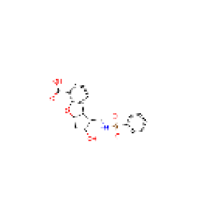 O=C(O)c1cccc2c1OC1CC(O)C(CNS(=O)(=O)c3ccccc3)C21